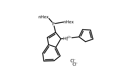 CCCCCCP(CCCCCC)C1=Cc2ccccc2[CH]1[Hf+2][C]1=CC=CC1.[Cl-].[Cl-]